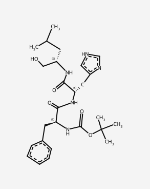 CC(C)C[C@@H](CO)NC(=O)[C@H](Cc1c[nH]cn1)NC(=O)[C@H](Cc1ccccc1)NC(=O)OC(C)(C)C